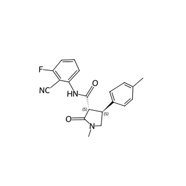 Cc1ccc([C@H]2CN(C)C(=O)[C@@H]2C(=O)Nc2cccc(F)c2C#N)cc1